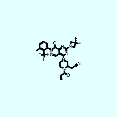 C=CC(=O)N1CCN(c2nc(N3CC(F)(F)C3)nc3c(=O)n(-c4cccc(C)c4C(F)(F)F)ncc23)CC1CC#N